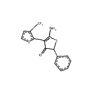 NC1=C(c2sccc2C(F)(F)F)C(=O)C(c2ccccc2)S1